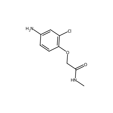 CNC(=O)COc1ccc(N)cc1Cl